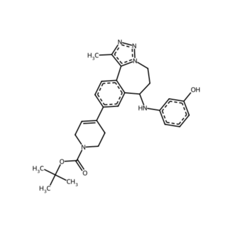 Cc1nnn2c1-c1ccc(C3=CCN(C(=O)OC(C)(C)C)CC3)cc1C(Nc1cccc(O)c1)CC2